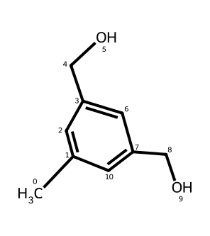 Cc1cc(CO)cc(CO)c1